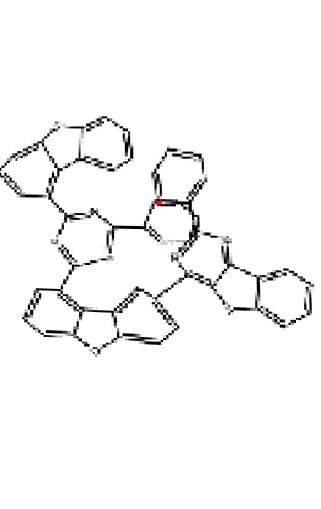 c1ccc(-c2nc(-c3cccc4oc5ccc(-c6nc(-c7ccccc7)nc7c6sc6ccccc67)cc5c34)nc(-c3cccc4sc5ccccc5c34)n2)cc1